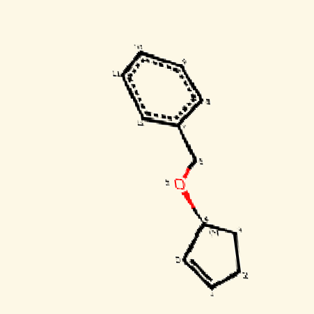 [C]1=CCC[C@@H]1OCc1ccccc1